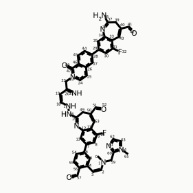 CN(/C=C\c1cc(-c2cc(F)c3c(c2)N=C(NN/C=C\C(=N)Cn2ccc4cc(-c5cc(F)c6c(c5)N=C(N)CC(C=O)=C6)ccc4c2=O)CC(C=O)=C3)ccc1C=O)Cc1nccn1C